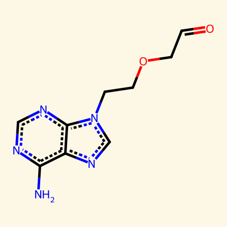 Nc1ncnc2c1ncn2CCOCC=O